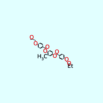 CCOCOc1ccc(C(=O)Oc2ccc(OC(=O)c3ccc(OCC4CO4)cc3)c(C)c2)cc1